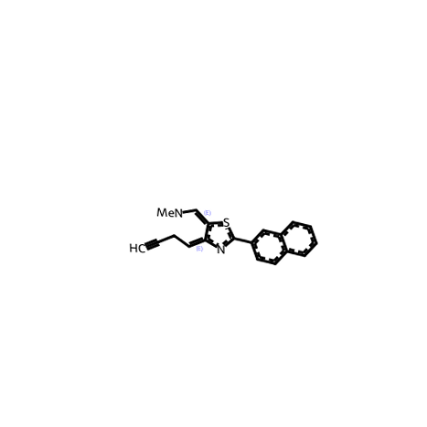 C#CC/C=c1/nc(-c2ccc3ccccc3c2)s/c1=C/NC